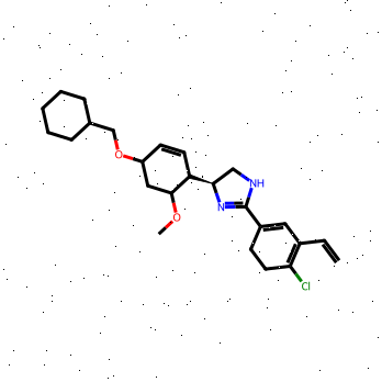 C=CC1=C(Cl)CCC(C2=N[C@@H](C3C=CC(OCC4CCCCC4)CC3OC)CN2)=C1